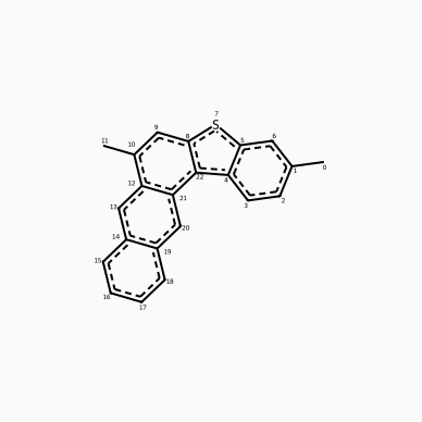 Cc1ccc2c(c1)sc1cc(C)c3cc4ccccc4cc3c12